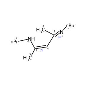 CCCC/N=C(C)/C=C(/C)NCCC